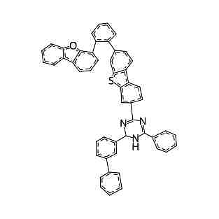 c1ccc(C2=NC(c3ccc4c(c3)sc3cc(-c5ccccc5-c5cccc6c5oc5ccccc56)ccc34)=NC(c3cccc(-c4ccccc4)c3)N2)cc1